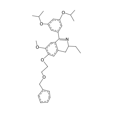 CCC1Cc2cc(OCCOCc3ccccc3)c(OC)cc2C(c2cc(OC(C)C)cc(OC(C)C)c2)=N1